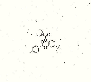 CCN(CC)C(=O)Oc1ccc(C(C)(C)C)cc1OC(=O)c1ccc(C)cc1